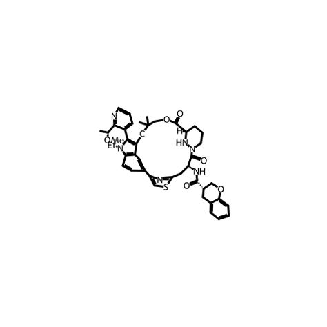 CCn1c(-c2cccnc2[C@H](C)OC)c2c3cc(ccc31)-c1csc(n1)C[C@H](NC(=O)[C@@H]1COc3ccccc3C1)C(=O)N1CCC[C@H](N1)C(=O)OCC(C)(C)C2